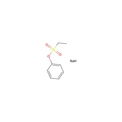 CCS(=O)(=O)Oc1ccccc1.[NaH]